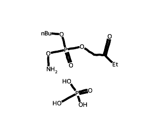 CCCCOP(=O)(ON)OCC(=O)CC.O=P(O)(O)O